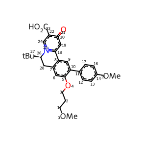 COCCCOc1cc2c(cc1-c1ccc(OC)cc1)-c1cc(=O)c(C(=O)O)cn1[C@H](C(C)(C)C)C2